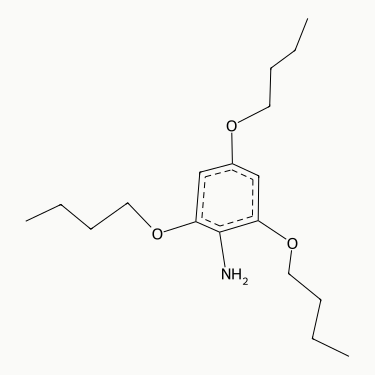 CCCCOc1cc(OCCCC)c(N)c(OCCCC)c1